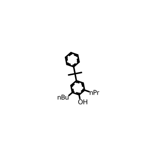 CCCCc1cc(C(C)(C)c2ccccc2)cc(CCC)c1O